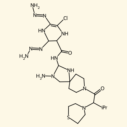 CC(C)C(C(=O)N1CCC2(CC1)CN(N)C(NC(=O)C1NC(Cl)=C(N=NN)NC1N=NN)N2)N1CCSCC1